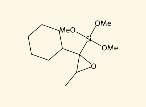 CO[Si](OC)(OC)C1(C2CCCCC2)OC1C